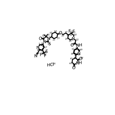 CC1(C)C(=O)N(c2cnc(C#N)c(C(F)(F)F)c2)C(=S)N1C1CCC(OCCC2CCN(CC(=O)Nc3ccc(C4CCC(=O)NC4=O)nc3)CC2(F)F)CC1.Cl